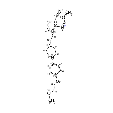 CO/C=N\c1c(C#N)cnn1CCN1CCN(c2ccc(OCCOC)cc2)CC1